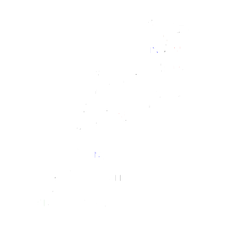 C[C@H](c1ccc(Cl)cc1Cl)N1CCC(C)(COc2cc(F)c(C(=O)NS(C)(=O)=O)cc2C2CC2)CC1